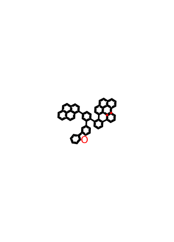 c1ccc(-c2cccc(-c3ccc(-c4ccc5ccc6cccc7ccc4c5c67)cc3-c3ccc4oc5ccccc5c4c3)c2-c2ccc3ccc4cccc5ccc2c3c45)cc1